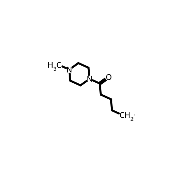 [CH2]CCCC(=O)N1CCN(C)CC1